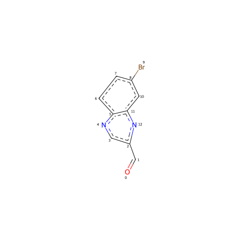 O=Cc1cnc2ccc(Br)cc2n1